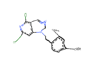 COc1ccc(CN2CN=Cc3c2cc(Cl)nc3Cl)c(OC)c1